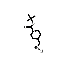 CC(C)(C)OC(=O)N1CCC(CNCl)CC1